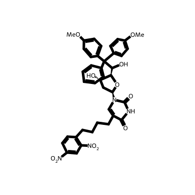 COc1ccc(C(c2ccccc2)(c2ccc(OC)cc2)C(O)[C@H]2O[C@@H](n3cc(CCCCc4ccc([N+](=O)[O-])cc4[N+](=O)[O-])c(=O)[nH]c3=O)C[C@@H]2O)cc1